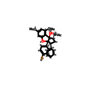 COc1cc(OC)c2c(c1)O[C@@]1(c3ccc(Br)cc3)[C@H](c3ccccc3)C[C@@H](NC(C)=O)[C@@]21O